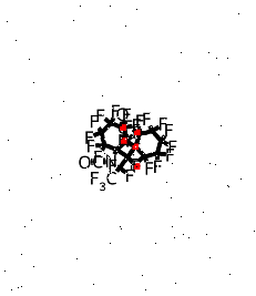 O=C=NC1(C(F)(C(F)(F)C(F)(F)F)C2(N=C=O)C(F)(F)C(F)(F)C(F)(F)C(F)(F)C2(F)F)C(F)(F)C(F)(F)C(F)(F)C(F)(F)C1(F)F